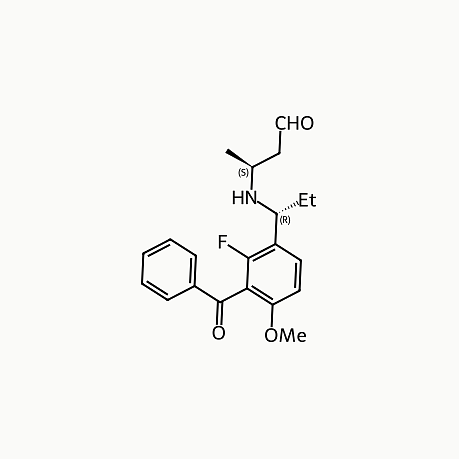 CC[C@@H](N[C@@H](C)CC=O)c1ccc(OC)c(C(=O)c2ccccc2)c1F